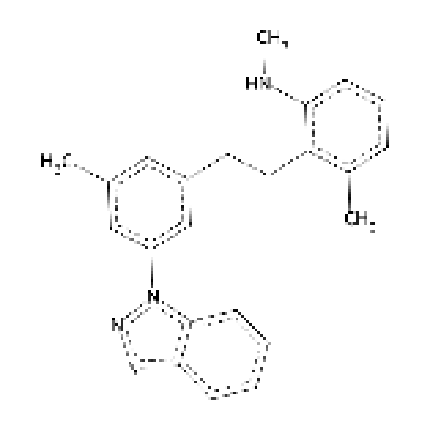 CNc1cccc(C)c1CCc1cc(C)cc(-n2nnc3ccccc32)c1